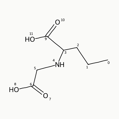 CCCC(NCC(=O)O)C(=O)O